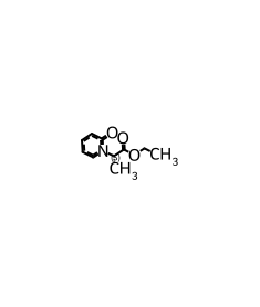 CCOC(=O)[C@H](C)n1ccccc1=O